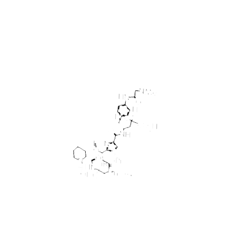 CCCCCCN(C[C@@](C=O)(NC(=O)[C@H]1CCCCN1)[C@@H](C)CC)[C@H](C[C@@H](OCC)c1nc(C(=O)N[C@@H](Cc2ccc(NC(=O)CNC)cc2)CC(C)(C)C(=O)O)cs1)C(C)C